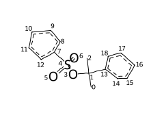 CC(C)(OS(=O)(=O)c1ccccc1)c1ccccc1